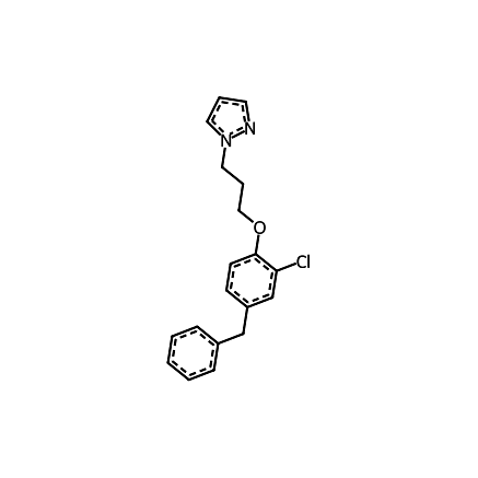 Clc1cc(Cc2ccccc2)ccc1OCCCn1cccn1